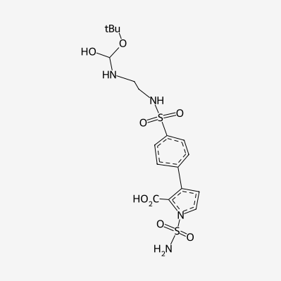 CC(C)(C)OC(O)NCCNS(=O)(=O)c1ccc(-c2ccn(S(N)(=O)=O)c2C(=O)O)cc1